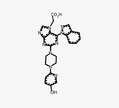 O=C(O)Cn1cnc2nc(N3CCN(c4ccc(O)cn4)CC3)nc(-n3ncc4ccccc43)c21